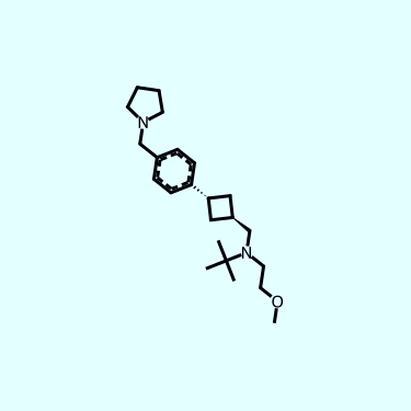 COCCN(C[C@H]1C[C@H](c2ccc(CN3CCCC3)cc2)C1)C(C)(C)C